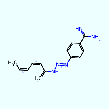 C=C(/C=C\C=C/C)N/N=N/c1ccc(C(=N)N)cc1